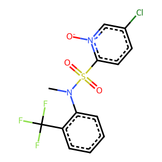 CN(c1ccccc1C(F)(F)F)S(=O)(=O)c1ccc(Cl)c[n+]1[O-]